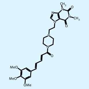 COc1cc(/C=C/C=C/C(=O)N2CCN(CCn3cnc4c3c(=O)n(C)c(=O)n4C)CC2)cc(OC)c1OC